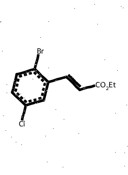 CCOC(=O)/C=C/c1cc(Cl)ccc1Br